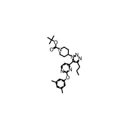 CCCc1nnn(C2CCN(C(=O)OC(C)(C)C)CC2)c1-c1ccnc(Oc2cc(C)cc(C)c2)n1